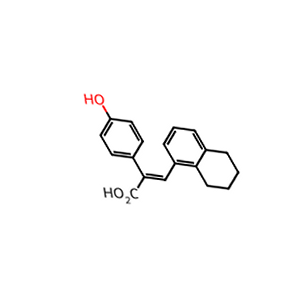 O=C(O)C(=Cc1cccc2c1CCCC2)c1ccc(O)cc1